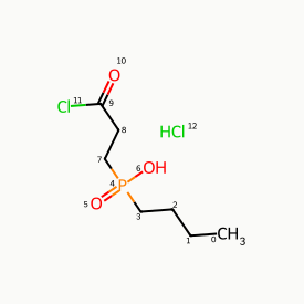 CCCCP(=O)(O)CCC(=O)Cl.Cl